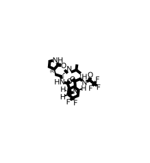 CC(C)C[C@H](NC(=O)C(F)(F)F)C(=O)N1[C@@H]2CC[C@H]([C@H]1C(=O)N[C@@H](C#N)C[C@H]1CCNC1=O)C(F)(F)C2